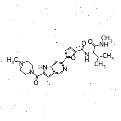 CNC(=O)[C@@H](NC(=O)c1ccc(-c2cc3[nH]c(C(=O)N4CCN(C)CC4)cc3cn2)o1)C(C)C